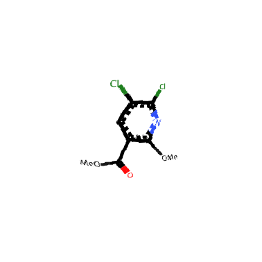 COC(=O)c1cc(Cl)c(Cl)nc1OC